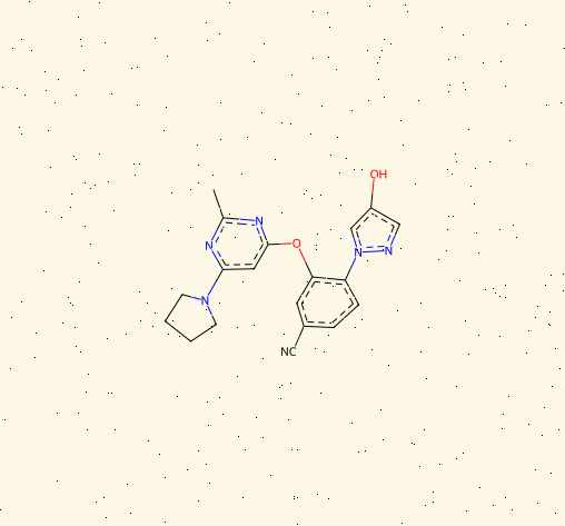 Cc1nc(Oc2cc(C#N)ccc2-n2cc(O)cn2)cc(N2CCCC2)n1